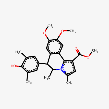 COC(=O)c1cc(C)n2c1-c1cc(OC)c(OC)cc1C(c1cc(C)c(O)c(C)c1)C2C